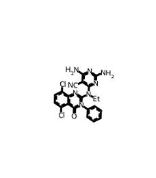 CCN(c1nc(N)nc(N)c1C#N)c1nc2c(Cl)ccc(Cl)c2c(=O)n1-c1ccccc1